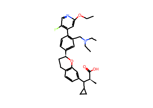 CCOc1cc(-c2ccc([C@@H]3CCc4ccc(C(C5CC5)[C@H](C)C(=O)O)cc4O3)cc2CN(CC)CC)c(F)cn1